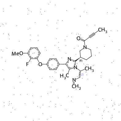 C=N/C=C(/C)n1c([C@@H]2CCCN(C(=O)C#CC)C2)nc(-c2ccc(Oc3cccc(OC)c3F)cc2)c1C